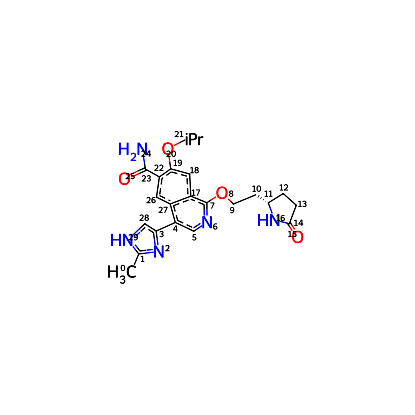 Cc1nc(-c2cnc(OCC[C@@H]3CCC(=O)N3)c3cc(OC(C)C)c(C(N)=O)cc23)c[nH]1